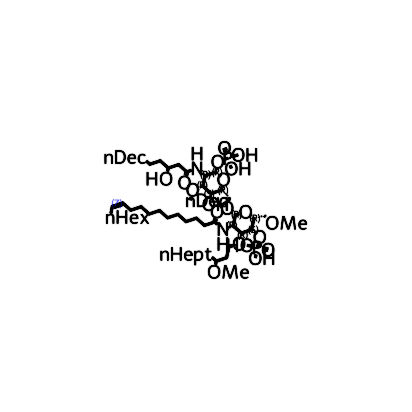 CCCCCC/C=C\CCCCCCCCCC(=O)N[C@H]1[C@H](OC[C@H]2O[C@H](OP(=O)(O)O)[C@H](NC(=O)CC(O)CCCCCCCCCCCC)[C@@H](OCCCCCCCCCC)[C@@H]2O)O[C@H](COC)[C@@H](OP(=O)(O)O)[C@@H]1OCCC(CCCCCCC)OC